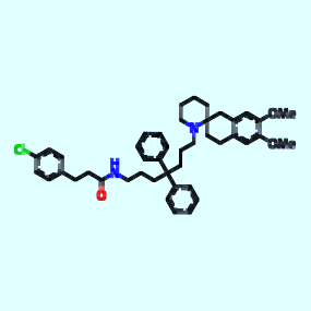 COc1cc2c(cc1OC)CC1(CCCCN1CCCC(CCCNC(=O)CCc1ccc(Cl)cc1)(c1ccccc1)c1ccccc1)CC2